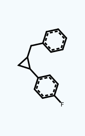 Fc1ccc(C2CC2Cc2ccccc2)cc1